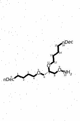 CCCCCCCCCCCCCCOC[C@@H](CON)OCCCCCCCCCCCCCC